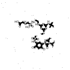 CCNc1nc(NC(C)(C)C)nc(SC)n1.Cc1nn(-c2cc(NS(C)(=O)=O)c(Cl)cc2Cl)c(=O)n1C(F)F.O=C(O)CNCP(=O)(O)O